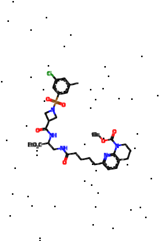 CCOC(=O)C(CNC(=O)CCCCc1ccc2c(n1)N(C(=O)OC(C)(C)C)CCC2)NC(=O)C1CN(S(=O)(=O)c2cc(C)cc(Cl)c2)C1